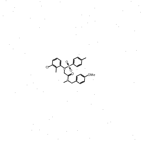 COc1ccc(CN(C)C(=O)CN(c2cccc(Cl)c2C)S(=O)(=O)c2ccc(C)cc2)cc1